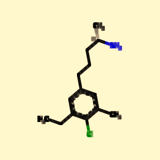 CCc1cc(CCC[C@H](C)N)cc(C)c1Cl